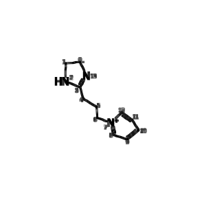 [CH]1CNC(CCC[n+]2ccccc2)=N1